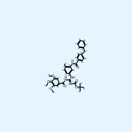 COc1cc(C(=O)N/C(=N/C(=O)OC(C)(C)C)Nc2ccc(C)c(NC(=O)c3ccc(Cc4ccccc4)cc3)c2)cc(OC)c1OC